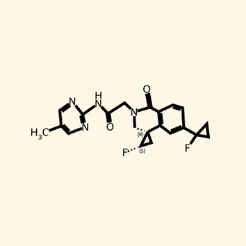 Cc1cnc(NC(=O)CN2C[C@@]3(C[C@@H]3F)c3cc(C4(F)CC4)ccc3C2=O)nc1